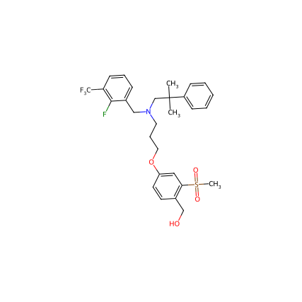 CC(C)(CN(CCCOc1ccc(CO)c(S(C)(=O)=O)c1)Cc1cccc(C(F)(F)F)c1F)c1ccccc1